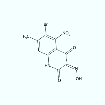 O=C1Nc2cc(C(F)(F)F)c(Br)c([N+](=O)[O-])c2C(=O)/C1=N/O